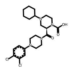 O=C([C@H]1CN(C2CCCCC2)CCN1C(=O)O)N1CCN(c2ccc(Cl)c(Cl)c2)CC1